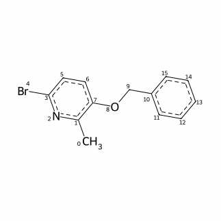 Cc1nc(Br)ccc1OCc1ccccc1